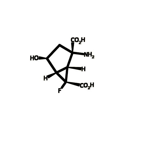 N[C@@]1(C(=O)O)C[C@H](O)[C@@H]2[C@H]1[C@@]2(F)C(=O)O